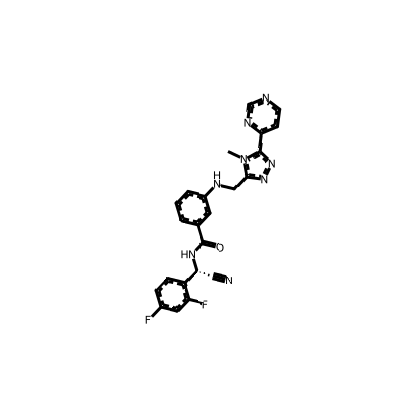 Cn1c(CNc2cccc(C(=O)N[C@H](C#N)c3ccc(F)cc3F)c2)nnc1-c1ccncn1